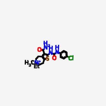 CC[N+]1(C)CCc2sc(NC(=O)Nc3ccc(Cl)cc3)c(C(N)=O)c2CC1